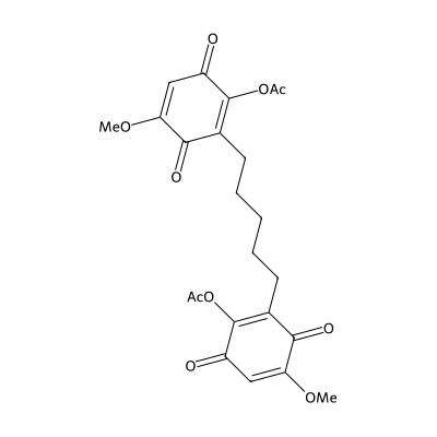 COC1=CC(=O)C(OC(C)=O)=C(CCCCCC2=C(OC(C)=O)C(=O)C=C(OC)C2=O)C1=O